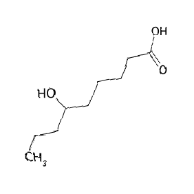 CCCC(O)CCCCC(=O)O